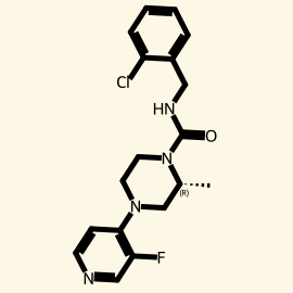 C[C@@H]1CN(c2ccncc2F)CCN1C(=O)NCc1ccccc1Cl